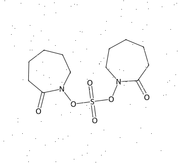 O=C1CCCCCN1OS(=O)(=O)ON1CCCCCC1=O